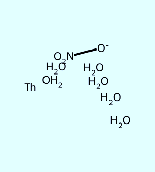 O.O.O.O.O.O.O=[N+]([O-])[O-].[Th]